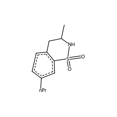 CCCc1ccc2c(c1)S(=O)(=O)NC(C)C2